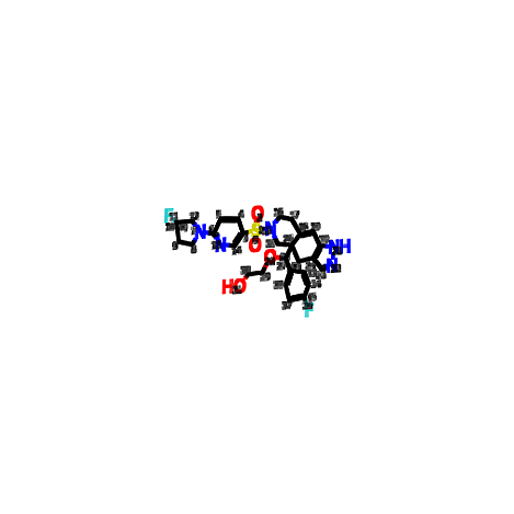 O=S(=O)(c1ccc(N2CC[C@@H](F)C2)nc1)N1CCC2=Cc3[nH]ncc3CC2([C@H](OCCO)c2ccc(F)cc2)C1